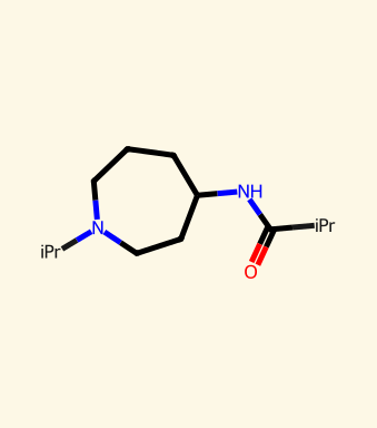 CC(C)C(=O)NC1CCCN(C(C)C)CC1